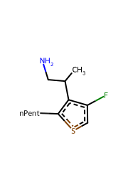 CCCCCc1scc(F)c1C(C)CN